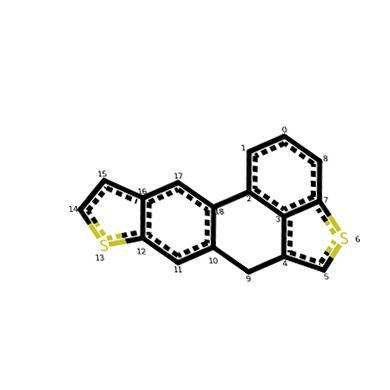 c1cc2c3c(csc3c1)Cc1cc3sccc3cc1-2